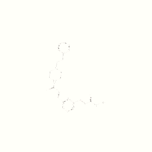 O=C(/C=C/c1cccc(/C=C/C(=O)N2CCN(CCc3ccccc3)CC2)n1)NO